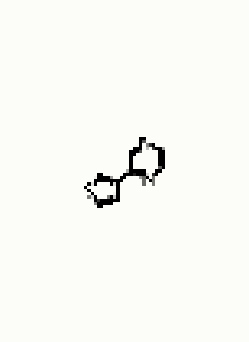 [c]1nccnc1-c1ccsc1